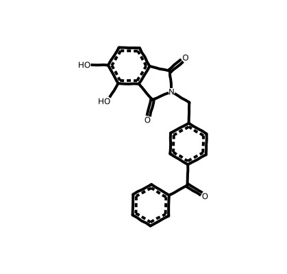 O=C(c1ccccc1)c1ccc(CN2C(=O)c3ccc(O)c(O)c3C2=O)cc1